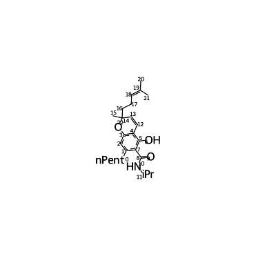 CCCCCc1cc2c(c(O)c1C(=O)NC(C)C)C=CC(C)(CCC=C(C)C)O2